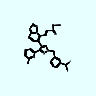 COC(=O)/C=C/c1c(-c2cn(Cc3cccc(C(F)F)c3)nc2-c2cccc(C)n2)ccc2ncnn12